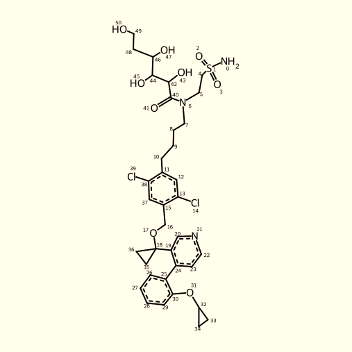 NS(=O)(=O)CCN(CCCCc1cc(Cl)c(COC2(c3cnccc3-c3ccccc3OC3CC3)CC2)cc1Cl)C(=O)C(O)C(O)C(O)CCO